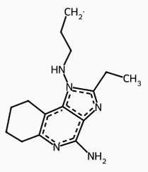 [CH2]CCNn1c(CC)nc2c(N)nc3c(c21)CCCC3